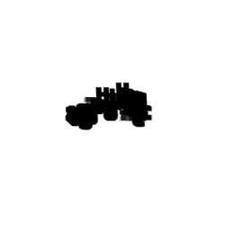 C=C1CCC(=O)N1OC(=O)CC[15NH][13C](=O)CC[15NH]C(=O)C1(O)CCCN1C[13CH]([13CH3])[13CH3]